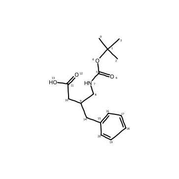 CC(C)(C)OC(=O)NCC(CC(=O)O)Cc1ccccc1